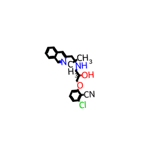 CC(C)(Cc1cc2ccccc2cn1)NCC(O)COc1cccc(Cl)c1C#N